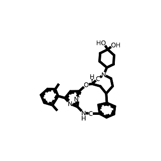 Cc1cccc(C)c1-c1cc2nc(n1)NCc1cccc(c1)C1CCN(C3CCC(O)(O)CC3)C[C@@H](C1)O2